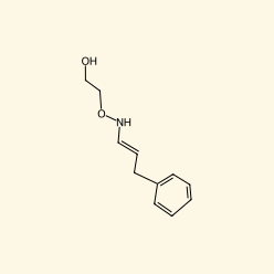 OCCONC=CCc1ccccc1